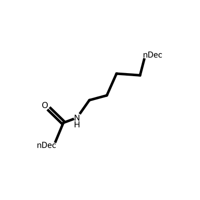 CCCCCCCCCCCCCCNC(=O)CCCCCCCCCC